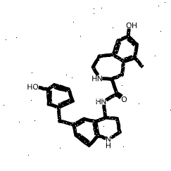 Cc1cc(O)cc2c1CC(C(=O)NC1CCNc3ccc(Cc4cccc(O)c4)cc31)NCC2